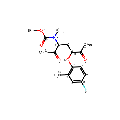 COC(=O)[C@H](C[C@@H](C(=O)OC)N(C)C(=O)OC(C)(C)C)Oc1ccc(F)cc1[N+](=O)[O-]